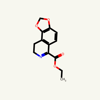 CCOC(=O)C1=NCCc2c1ccc1c2OCO1